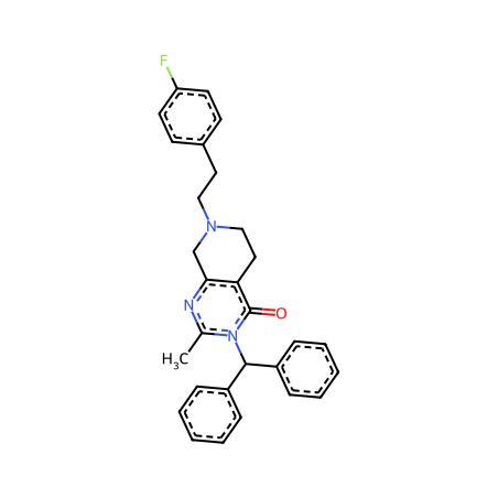 Cc1nc2c(c(=O)n1C(c1ccccc1)c1ccccc1)CCN(CCc1ccc(F)cc1)C2